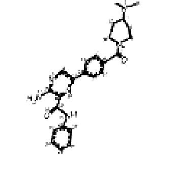 CN(C)C1CCN(C(=O)c2ccc(-c3cnc(N)c(C(=O)Nc4ccccc4)n3)cc2)CC1